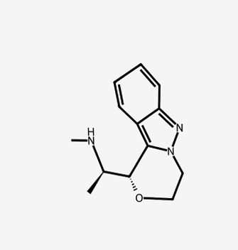 CN[C@H](C)[C@H]1OCCn2nc3ccccc3c21